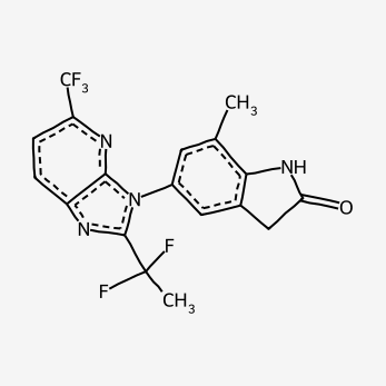 Cc1cc(-n2c(C(C)(F)F)nc3ccc(C(F)(F)F)nc32)cc2c1NC(=O)C2